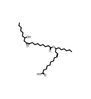 CCCCCCC(O)CC1OC1CCCCCCCC(=O)OC(C/C=C\CCCCCCCC(=O)O)CCCCCC